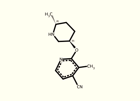 Cc1c(C#N)ccnc1O[C@@H]1CC[C@@H](C)NC1